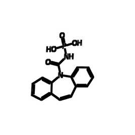 O=C(NP(=O)(O)O)N1c2ccccc2C=Cc2ccccc21